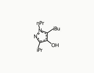 CCCn1nc(C(C)C)c(O)c1C(C)CC